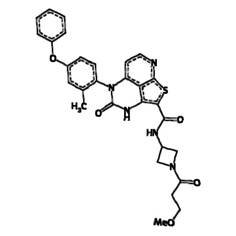 COCCC(=O)N1CC(NC(=O)c2sc3nccc4c3c2NC(=O)N4c2ccc(Oc3ccccc3)cc2C)C1